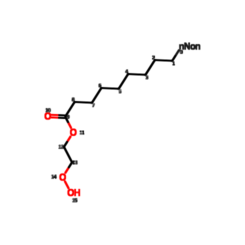 CCCCCCCCCCCCCCCCCC(=O)OCCOO